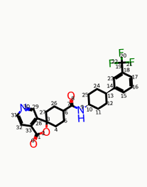 O=C1OC2(CCC(C(=O)N[C@H]3CC[C@H](c4cccc(C(F)(F)F)c4)CC3)CC2)c2cnccc21